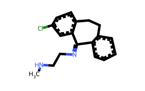 CNCCN=C1c2ccccc2CCc2ccc(Cl)cc21